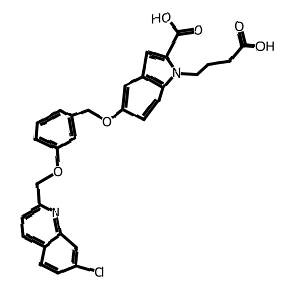 O=C(O)CCCn1c(C(=O)O)cc2cc(OCc3cccc(OCc4ccc5ccc(Cl)cc5n4)c3)ccc21